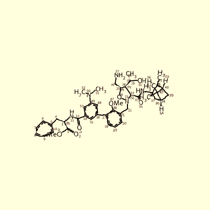 COC(=O)[C@@H](Cc1ccccc1)NC(=O)c1cc(-c2cccc(CN3O[C@@H](CN)[C@@H]([C@H](C)O)[C@H]3C(=O)NC3C[C@H]4C[C@@H]([C@@H]3C)C4(C)C)c2OC)cc(N(C)C)c1